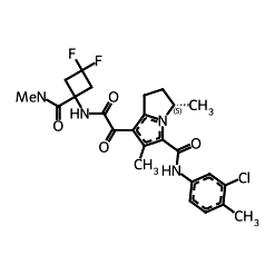 CNC(=O)C1(NC(=O)C(=O)c2c(C)c(C(=O)Nc3ccc(C)c(Cl)c3)n3c2CC[C@@H]3C)CC(F)(F)C1